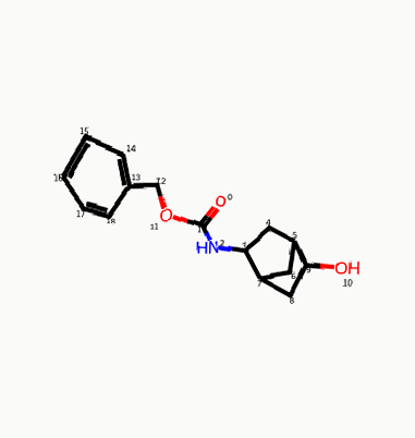 O=C(NC1CC2CC1CC2O)OCc1ccccc1